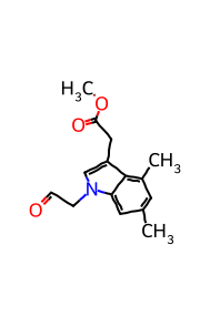 COC(=O)Cc1cn(CC=O)c2cc(C)cc(C)c12